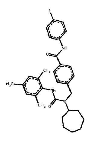 Cc1cc(C)c(NC(=O)N(Cc2ccc(C(=O)Nc3ccc(F)cc3)cc2)C2CCCCCC2)c(C)c1